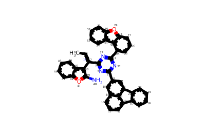 C/C=C(/c1nc(-c2cc3c4c(cccc4c2)-c2ccccc2-3)nc(-c2cccc3oc4ccccc4c23)n1)c1c(N)oc2ccccc12